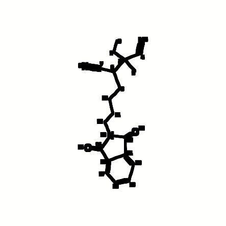 CCC(C)(C#N)C(C#N)CCCCN1C(=O)c2ccccc2C1=O